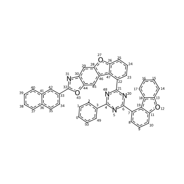 c1ccc(-c2nc(-c3cccc4oc5ccccc5c34)nc(-c3cccc4oc5cc6nc(-c7ccc8ccccc8c7)oc6cc5c34)n2)cc1